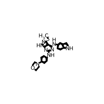 CSc1n[nH]c2nc(Nc3ccc(N4CCOCC4)cc3)nc(Nc3ccc4[nH]ccc4c3)c12